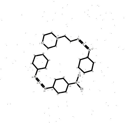 C(=NCCN1CCOCC1)=NC1CCCCC1.CCN(CC)C1CCC(N=C=NC2CCCCC2)CC1